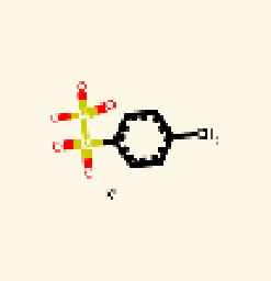 Cc1ccc(S(=O)(=O)S(=O)(=O)[O-])cc1.[K+]